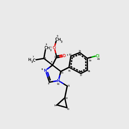 COC(=O)C1(C(C)C)N=CN(CC2CC2)C1c1ccc(Cl)cc1